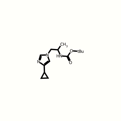 CC(Cn1cnc(C2CC2)c1)NC(=O)OC(C)(C)C